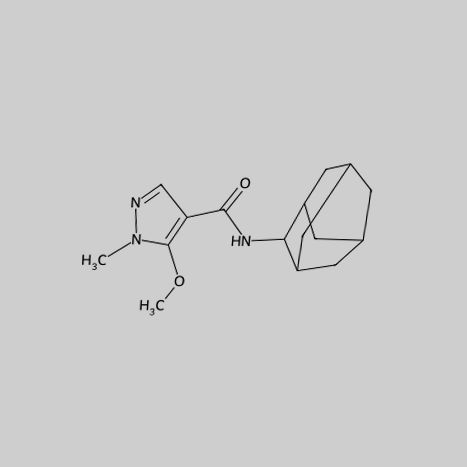 COc1c(C(=O)NC2C3CC4CC(C3)CC2C4)cnn1C